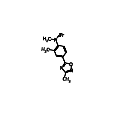 Cc1noc(-c2ccc(N(C)C(C)C)c(C)c2)n1